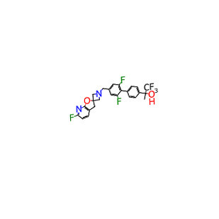 CC(O)(c1ccc(-c2c(F)cc(CN3CC4(Cc5ccc(F)nc5O4)C3)cc2F)cc1)C(F)(F)F